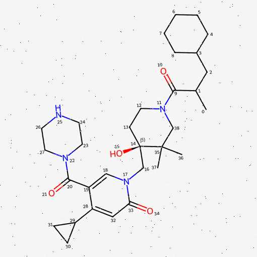 CC(CC1CCCCC1)C(=O)N1CC[C@@](O)(Cn2cc(C(=O)N3CCNCC3)c(C3CC3)cc2=O)C(C)(C)C1